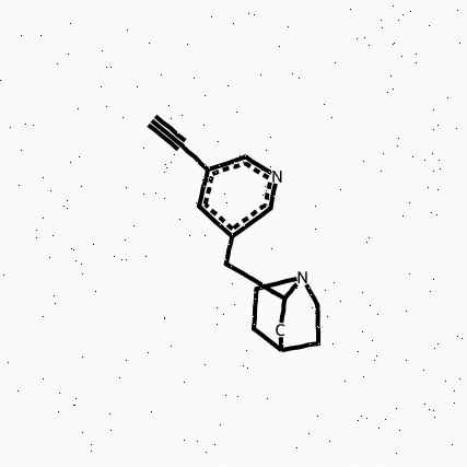 C#Cc1cncc(CC2CC3CCN2CC3)c1